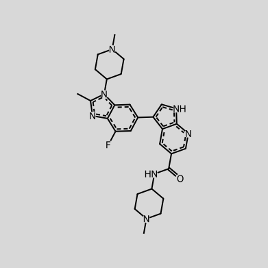 Cc1nc2c(F)cc(-c3c[nH]c4ncc(C(=O)NC5CCN(C)CC5)cc34)cc2n1C1CCN(C)CC1